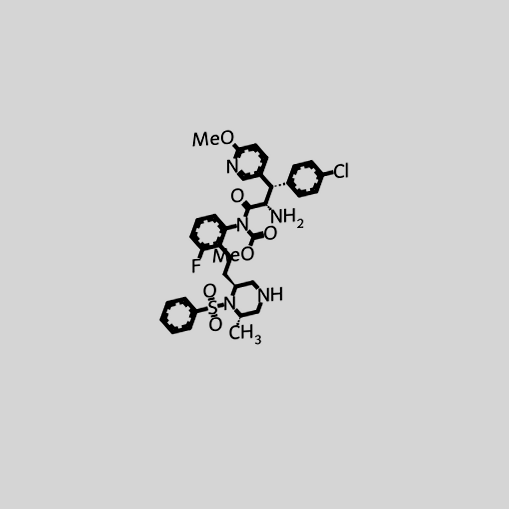 COC(=O)N(C(=O)[C@@H](N)[C@@H](c1ccc(Cl)cc1)c1ccc(OC)nc1)c1cccc(F)c1CC[C@H]1CNC[C@H](C)N1S(=O)(=O)c1ccccc1